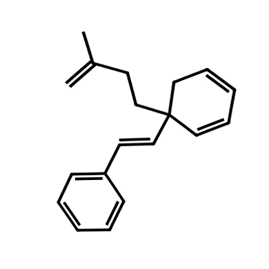 C=C(C)CCC1(C=Cc2ccccc2)C=CC=CC1